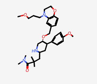 COCCCN1CCOc2ccc(CO[C@H]3CNC(CC(C)(C)C(=O)N(C)C)CC3c3ccc(OC)cc3)cc21